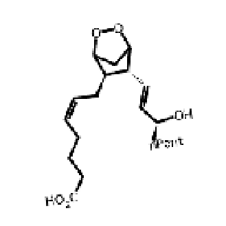 CCCCC[C@H](O)/C=C/[C@H]1C2CC(OO2)[C@@H]1C/C=C\CCCC(=O)O